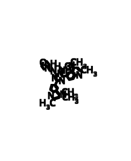 Cc1cc(N(C)C)c2cc(C3=NC(c4ccc5nc(C)cc(N(C)C)c5c4)N(N)C(NCN4CCOCC4)=N3)ccc2n1